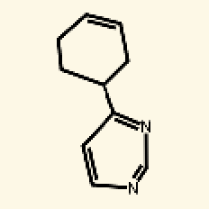 C1=CCC(c2ccncn2)CC1